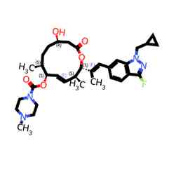 C/C(=C\c1ccc2c(F)nn(CC3CC3)c2c1)[C@H]1OC(=O)C[C@H](O)CC[C@H](C)[C@H](OC(=O)N2CCN(C)CC2)/C=C/[C@@H]1C